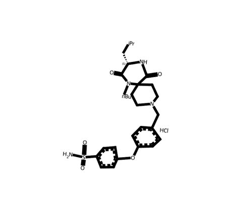 CCCCN1C(=O)[C@H](CC(C)C)NC(=O)C12CCN(Cc1ccc(Oc3ccc(S(N)(=O)=O)cc3)cc1)CC2.Cl